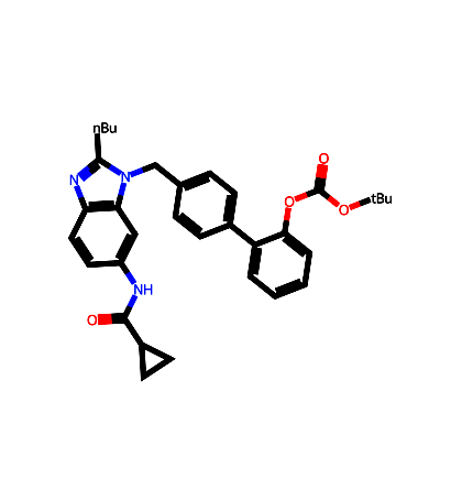 CCCCc1nc2ccc(NC(=O)C3CC3)cc2n1Cc1ccc(-c2ccccc2OC(=O)OC(C)(C)C)cc1